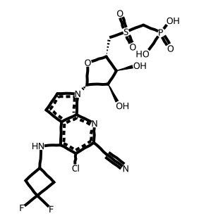 N#Cc1nc2c(ccn2[C@@H]2O[C@H](CS(=O)(=O)CP(=O)(O)O)[C@@H](O)[C@H]2O)c(NC2CC(F)(F)C2)c1Cl